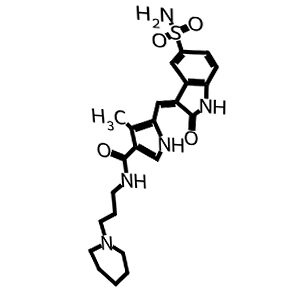 Cc1c(C(=O)NCCCN2CCCCC2)c[nH]c1C=C1C(=O)Nc2ccc(S(N)(=O)=O)cc21